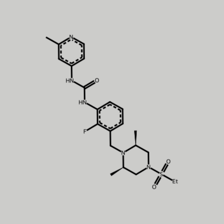 CCS(=O)(=O)N1C[C@@H](C)N(Cc2cccc(NC(=O)Nc3ccnc(C)c3)c2F)[C@@H](C)C1